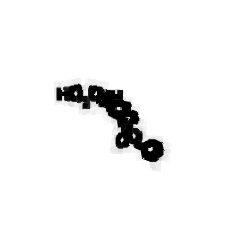 O=C(O)NCc1ccc2c(c1)CN(C(=O)OCc1ccccc1)CC2